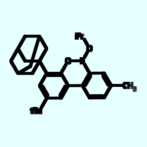 Cc1ccc2c(c1)B(OC(C)C)Oc1c-2cc(C(C)(C)C)cc1C12CC3CC(CC(C3)C1)C2